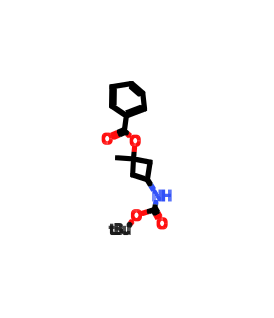 CC(C)(C)OC(=O)NC1CC(C)(OC(=O)c2ccccc2)C1